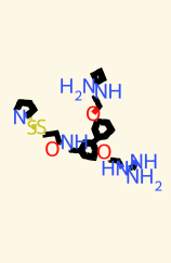 N=C(N)NCCOc1ccc(CNC(=O)CCSSc2ccccn2)cc1-c1cccc(OCCNC2(N)C=CC2)c1